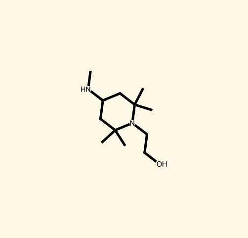 CNC1CC(C)(C)N(CCO)C(C)(C)C1